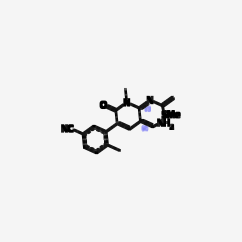 C=C(/N=C1\C(=C/N)C=C(c2cc(C#N)ccc2C)C(=O)N1C)SC